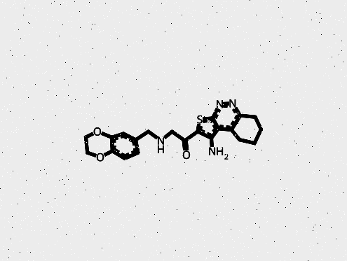 Nc1c(C(=O)CNCc2ccc3c(c2)OCCO3)sc2nnc3c(c12)CCCC3